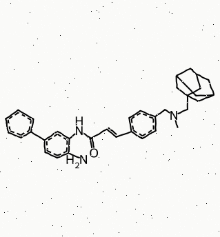 CN(Cc1ccc(/C=C/C(=O)Nc2cc(-c3ccccc3)ccc2N)cc1)CC12CC3CC(CC(C3)C1)C2